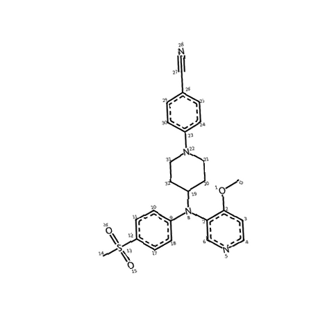 COc1ccncc1N(c1ccc(S(C)(=O)=O)cc1)C1CCN(c2ccc(C#N)cc2)CC1